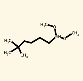 CO[SiH](CCCCC(C)(C)C)OC